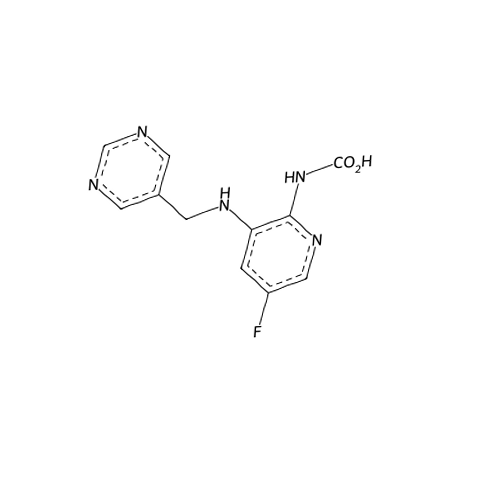 O=C(O)Nc1ncc(F)cc1NCc1cncnc1